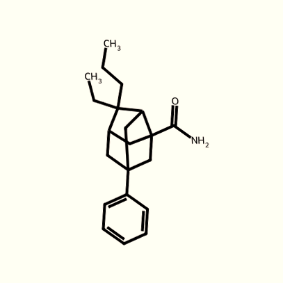 CCCC1(CC)C2CC3(c4ccccc4)CC1C(C(N)=O)(C2)C3